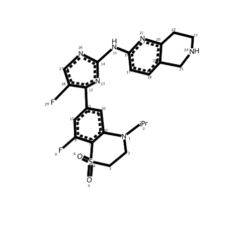 CC(C)N1CCS(=O)(=O)c2c(F)cc(-c3nc(Nc4ccc5c(n4)CCNC5)ncc3F)cc21